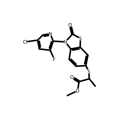 COC(=O)C(C)Sc1ccc2c(c1)sc(=O)n2-c1ncc(Cl)cc1F